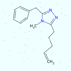 C=CCCCc1nnc(Cc2ccccc2)n1C